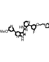 COc1cncc(-c2cnc3[nH]nc(-c4nc5c(-c6cc(F)cc(OCCN7CCCC7)c6)nccc5[nH]4)c3c2)c1